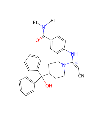 CCN(CC)C(=O)c1ccc(N/C(=C/C#N)N2CCC(C(O)(c3ccccc3)c3ccccc3)CC2)cc1